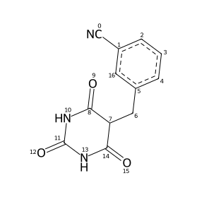 N#Cc1cccc(CC2C(=O)NC(=O)NC2=O)c1